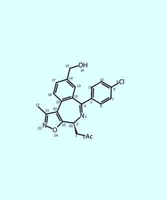 CC(=O)C[C@@H]1N=C(c2ccc(Cl)cc2)c2cc(CO)ccc2-c2c(C)noc21